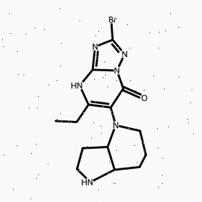 CCc1[nH]c2nc(Br)nn2c(=O)c1N1CCCC2NCCC21